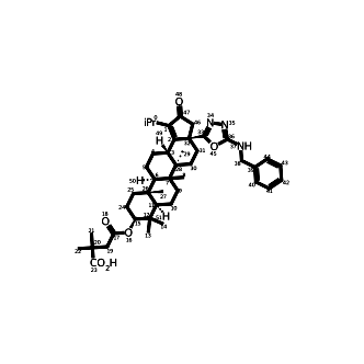 CC(C)C1=C2[C@H]3CC[C@H]4C(C)(CC[C@H]5C(C)(C)[C@@H](OC(=O)CC(C)(C)C(=O)O)CC[C@@]54C)[C@]3(C)CC[C@@]2(c2nnc(NCc3ccccc3)o2)CC1=O